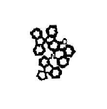 c1ccc(N(c2cccc3c2-c2ccccc2C32CCCC2)c2cc(C3(c4ccccc4)c4ccccc4-c4ccccc43)cc3oc4ccccc4c23)cc1